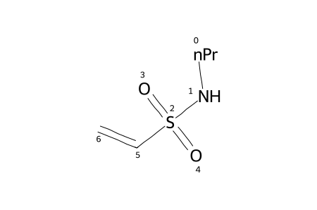 [CH2]CCNS(=O)(=O)C=C